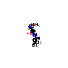 CCC[C@]1(C)CCC[C@H](N(c2cnc(-c3ccc(-c4nc(OC)ncc4F)cc3O)nn2)C2CC2)[C@@H]1F